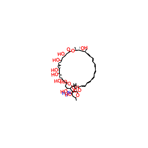 CC1CC(N)C(O)C(O[C@H]2/C=C/C=C/C=C/C=C/C=C/C=C/C=C/[C@H](C)[C@@H](O)[C@@H](C)[C@H](C)OC(=O)C[C@H](O)C[C@H](O)CC[C@@H](O)[C@H](O)C[C@H](O)C[C@]3(O)C[C@H](O)C(C(=O)O)[C@H](C2)O3)O1